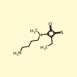 CCc1c(N(C)CCCCN)c(=O)c1=S